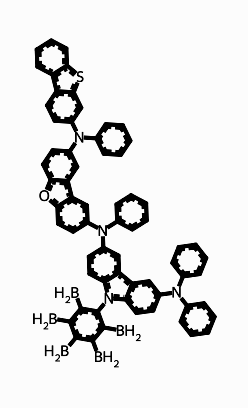 Bc1c(B)c(B)c(-n2c3ccc(N(c4ccccc4)c4ccccc4)cc3c3cc(N(c4ccccc4)c4ccc5oc6ccc(N(c7ccccc7)c7ccc8c(c7)sc7ccccc78)cc6c5c4)ccc32)c(B)c1B